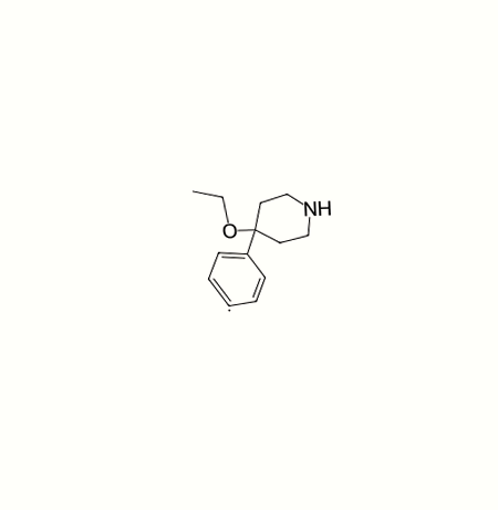 CCOC1(c2cc[c]cc2)CCNCC1